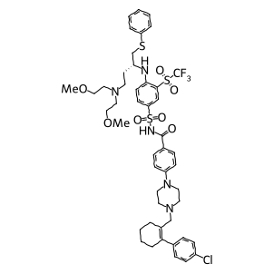 COCCN(CCOC)CC[C@H](CSc1ccccc1)Nc1ccc(S(=O)(=O)NC(=O)c2ccc(N3CCN(CC4=C(c5ccc(Cl)cc5)CCCC4)CC3)cc2)cc1S(=O)(=O)C(F)(F)F